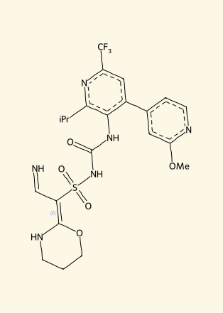 COc1cc(-c2cc(C(F)(F)F)nc(C(C)C)c2NC(=O)NS(=O)(=O)/C(C=N)=C2/NCCCO2)ccn1